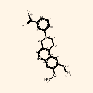 COc1cc2ncc3c(c2cc1OC)CCN(c1cccc(C(=O)O)c1)C3